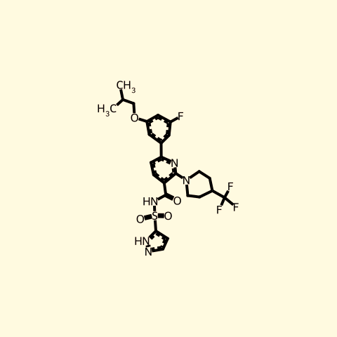 CC(C)COc1cc(F)cc(-c2ccc(C(=O)NS(=O)(=O)c3ccn[nH]3)c(N3CCC(C(F)(F)F)CC3)n2)c1